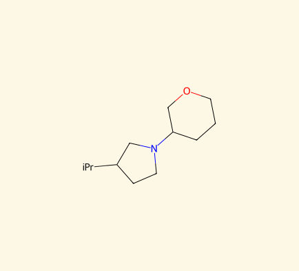 CC(C)C1CCN(C2CCCOC2)C1